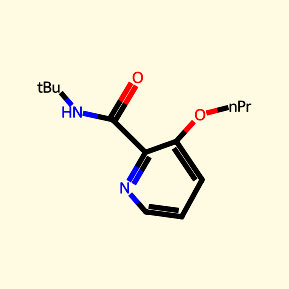 CCCOc1cccnc1C(=O)NC(C)(C)C